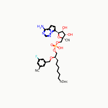 CCCCCCCCCCCCCCCC[C@H](COP(=O)(O)OC[C@@]1(C#N)O[C@@H](c2ccc3c(N)ncnn23)[C@H](O)[C@@H]1O)OCc1cc(F)cc(C#N)c1